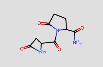 NC(=O)C1CCC(=O)N1C(=O)C1CC(=O)N1